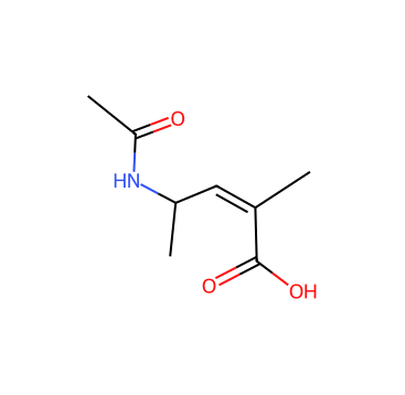 CC(=O)NC(C)C=C(C)C(=O)O